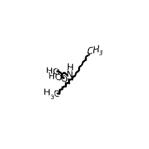 CCCCCCCCCCC(CCCCCCCCCC)NCCC(CO)C(=O)O